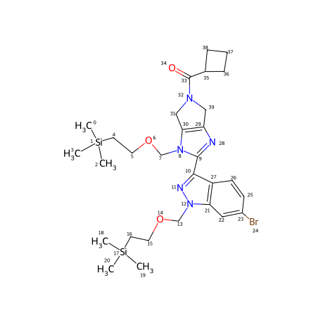 C[Si](C)(C)CCOCn1c(-c2nn(COCC[Si](C)(C)C)c3cc(Br)ccc23)nc2c1CN(C(=O)C1CCC1)C2